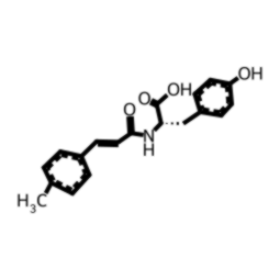 Cc1ccc(C=CC(=O)N[C@@H](Cc2ccc(O)cc2)C(=O)O)cc1